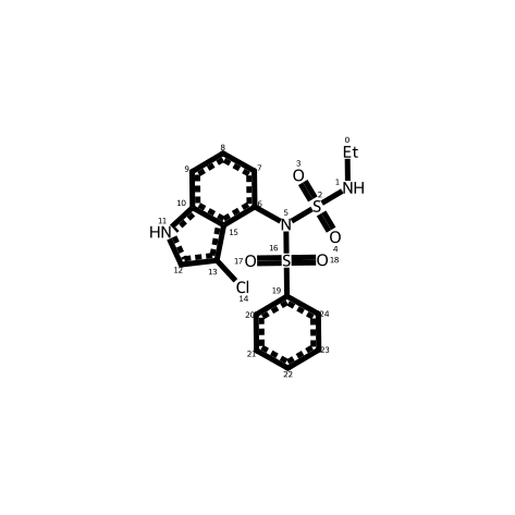 CCNS(=O)(=O)N(c1cccc2[nH]cc(Cl)c12)S(=O)(=O)c1ccccc1